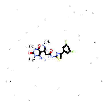 C=N/C=C(/CC(=O)Nc1nc(-c2cc(F)cc(F)c2)cs1)c1c(N)n(C)c(=O)n(C)c1=O